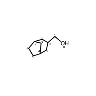 OCC1CC2CCC(C1)C2